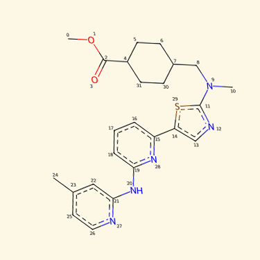 COC(=O)C1CCC(CN(C)c2ncc(-c3cccc(Nc4cc(C)ccn4)n3)s2)CC1